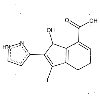 O=C(O)C1=CCCC2=C1C(O)C(c1cc[nH]n1)=C2I